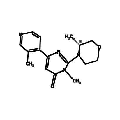 Cc1cnccc1-c1cc(=O)n(C)c(N2CCOC[C@H]2C)n1